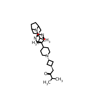 CC(C)C(=O)C[C@H]1C[C@H](N2CCC(c3cnc(N4C5CCC4CN(C(C)C)C5)nc3)CC2)C1